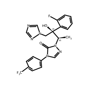 C[C@@H](n1ncn(-c2ccc(C(F)(F)F)cc2)c1=O)[C@](O)(Cn1cncn1)c1ccccc1F